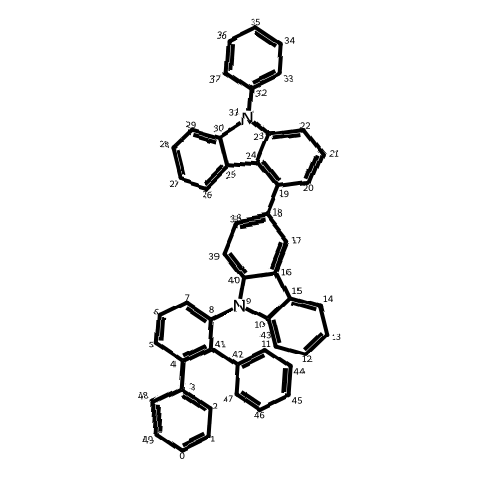 c1ccc(-c2cccc(-n3c4ccccc4c4cc(-c5cccc6c5c5ccccc5n6-c5ccccc5)ccc43)c2-c2ccccc2)cc1